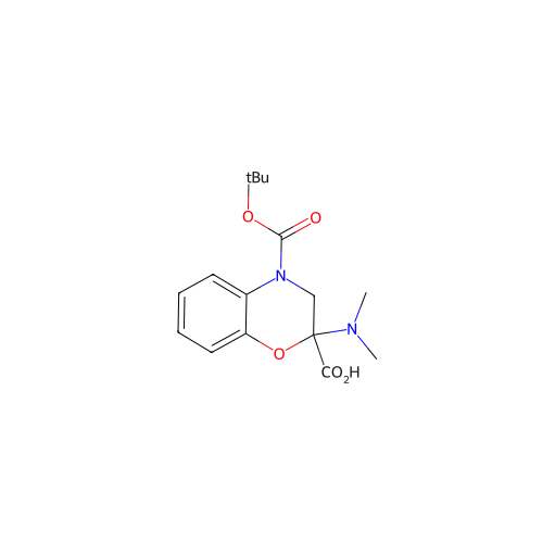 CN(C)C1(C(=O)O)CN(C(=O)OC(C)(C)C)c2ccccc2O1